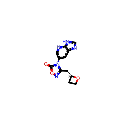 O=c1onc(C[C@H]2CCO2)n1-c1cnc2[nH]cnc2c1